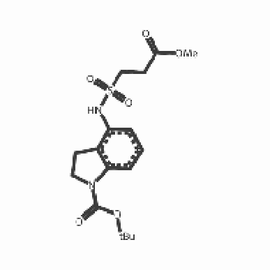 COC(=O)CCS(=O)(=O)Nc1cccc2c1CCN2C(=O)OC(C)(C)C